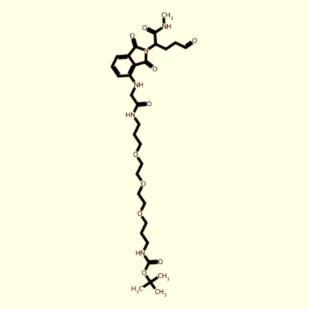 CNC(=O)C(CCC=O)N1C(=O)c2cccc(NCC(=O)NCCCOCCOCCOCCCNC(=O)OC(C)(C)C)c2C1=O